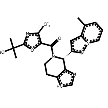 Cc1cccn2nc([C@@H]3c4nc[nH]c4CCN3C(=O)c3oc(C(C)(C)O)nc3C(F)(F)F)cc12